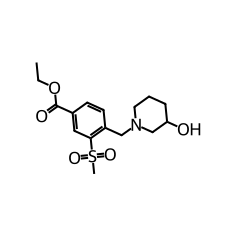 CCOC(=O)c1ccc(CN2CCCC(O)C2)c(S(C)(=O)=O)c1